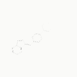 CCN(CC)c1ccc(/C=C2\C=Cc3ccccc32)cc1